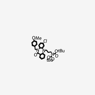 COc1ccc(CN2C(=O)c3ccccc3N(CCCN(C(=O)OC(C)(C)C)C(=O)OC(C)(C)C)c3cc(Cl)ccc32)cc1